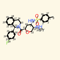 Cc1ccc(S(=O)(=O)N[C@H]2C[C@H](C(=O)N3CCc4ccccc4[C@@H]3c3ccc(F)cc3)OC[C@@H]2NC(C)C)cc1